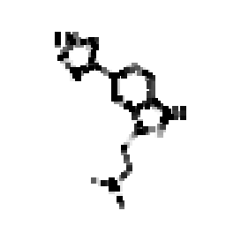 CN(C)CCc1c[nH]c2ccc(-c3nc[nH]n3)cc12